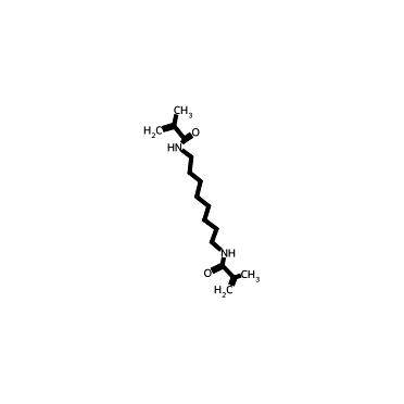 C=C(C)C(=O)NCCCCCCCCNC(=O)C(=C)C